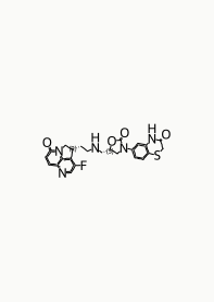 O=C1CSc2ccc(N3C[C@H](CNCC[C@H]4Cn5c(=O)ccc6ncc(F)c4c65)OC3=O)cc2N1